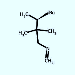 C=NCC(C)(C)[C@@H](C)C(C)CC